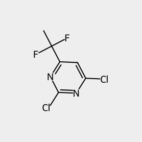 CC(F)(F)c1cc(Cl)nc(Cl)n1